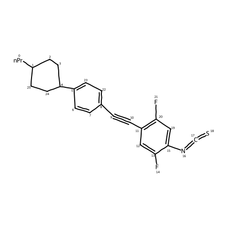 CCCC1CCC(c2ccc(C#Cc3cc(F)c(N=C=S)cc3F)cc2)CC1